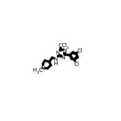 CN1CCC(CNc2nc(-c3cc(Cl)cc(Cl)c3)nc(C(Cl)(Cl)Cl)n2)CC1